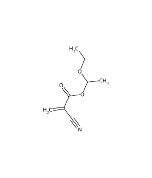 C=C(C#N)C(=O)OC(C)OCC